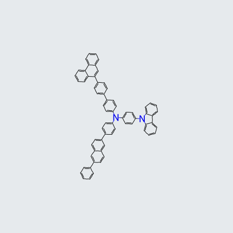 c1ccc(-c2ccc3cc(-c4ccc(N(c5ccc(-c6ccc(-c7cc8ccccc8c8ccccc78)cc6)cc5)c5ccc(-n6c7ccccc7c7ccccc76)cc5)cc4)ccc3c2)cc1